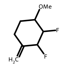 C=C1CCC(OC)C(F)C1F